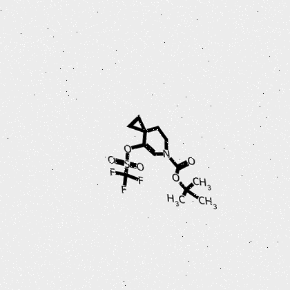 CC(C)(C)OC(=O)N1C=C(OS(=O)(=O)C(F)(F)F)C2(CC1)CC2